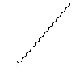 CCCCCCCCCCCCCCCCCCSCCCCCC(N)=O